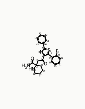 NC(=O)C1([CH]C(=O)c2nc(-c3ccccc3)sc2-c2ccccc2F)CCCCN1